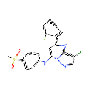 CS(=O)(=O)c1ccc(Nc2cc(-c3ccccc3F)nc3c(Cl)cnn23)cc1